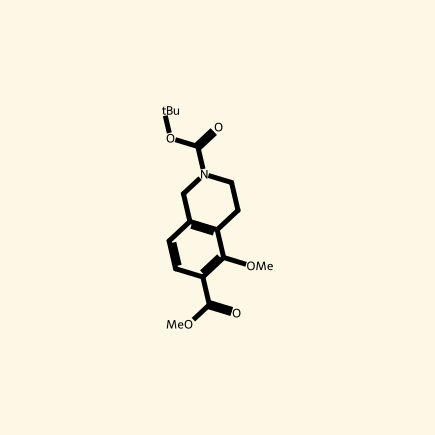 COC(=O)c1ccc2c(c1OC)CCN(C(=O)OC(C)(C)C)C2